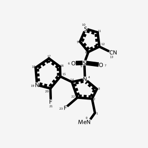 CNCc1cn(S(=O)(=O)c2cscc2C#N)c(-c2cccnc2F)c1F